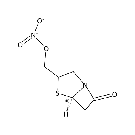 O=C1C[C@H]2SC(CO[N+](=O)[O-])CN12